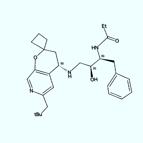 CCC(=O)N[C@@H](Cc1ccccc1)[C@@H](O)CN[C@H]1CC2(CCC2)Oc2cnc(CC(C)(C)C)cc21